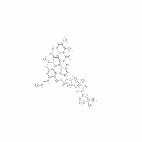 COCOc1cc2c(cc1OCOC)C(=O)C(c1coc3cc(C)c(C)c(C(=O)OCc4cn(CC(=O)N[C@@H](CCC(=O)OC(C)(C)C)C(C)(C)C)nn4)c3c1=O)=C(C)C2